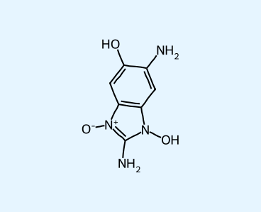 Nc1cc2c(cc1O)[n+]([O-])c(N)n2O